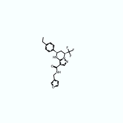 CCc1ccc([C@H]2C[C@@H](C(F)(F)F)n3ncc(C(=O)NCc4ccoc4)c3N2)cc1